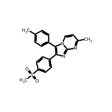 Cc1ccc(-c2c(-c3ccc(S(C)(=O)=O)cc3)nc3nc(C)ccn23)cc1